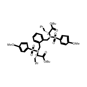 COc1ccc(S(=O)(=O)N(Cc2ccccc2CN([C@@H](CC(C)C)C(=O)OCC(C)C)S(=O)(=O)c2ccc(OC)cc2)[C@H](CC(C)C)C(=O)OCC(C)C)cc1